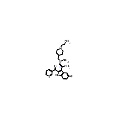 NCCN1CCC(CN(N)/C=C(\N)c2c(C(=O)c3cccnc3)[nH]c3ccc(F)cc23)CC1